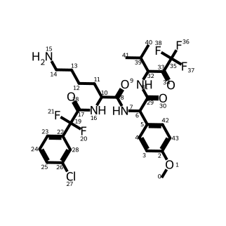 COc1ccc(C(NC(=O)C(CCCCN)NC(=O)C(F)(F)c2cccc(Cl)c2)C(=O)NC(C(=O)C(F)(F)F)C(C)C)cc1